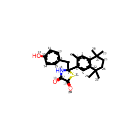 Cc1cc2c(cc1C1(Cc3ccc(O)cc3)NC(=O)C(=O)S1)C(C)(C)CCC2(C)C